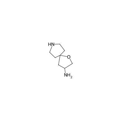 NC1COC2(CCNCC2)C1